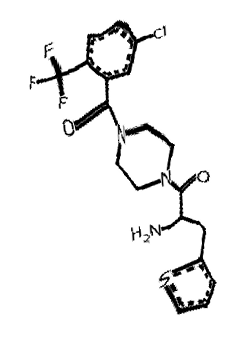 NC(Cc1cccs1)C(=O)N1CCN(C(=O)c2cc(Cl)ccc2C(F)(F)F)CC1